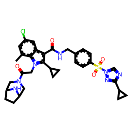 Cc1cc(Cl)cc2c(C(=O)NCc3ccc(S(=O)(=O)n4cnc(C5CC5)n4)cc3)c(C3CC3)n(CC(=O)N3CC4CCC(C3)N4)c12